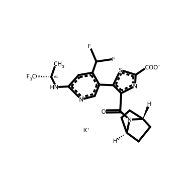 C[C@H](Nc1cc(C(F)F)c(-c2sc(C(=O)[O-])nc2C(=O)N2[C@H]3CC[C@H]2CC3)cn1)C(F)(F)F.[K+]